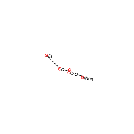 CCCCCCCCCOCC#Cc1ccc(C2C=CC(OC(=O)C#Cc3ccc(OCCCCCCCCCCCCC4(CC)COC4)cc3)=CC2)cc1